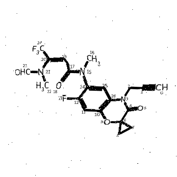 C#CCN1C(=O)C2(CC2)Oc2cc(F)c(N(C)C(=O)/C=C(\N(C)C=O)C(F)(F)F)cc21